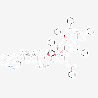 COCC1O[C@@H](O[C@H]2C3CO[C@H](O3)[C@@H](N=[N+]=[N-])C2OC)C(OC)C(OC)[C@@H]1O[C@H]1OC(COC)[C@@H](O[C@@H]2OC(COC)[C@@H](O[C@@H]3OC(COC(=O)c4ccccc4)[C@@H](O[C@@H]4OC(COC(=O)c5ccccc5)[C@@H](O[C@H]5OC6COC(c7ccccc7)O[C@H]6C(OC(=O)c6ccccc6)C5OC(=O)c5ccccc5)C(OC(=O)c5ccccc5)C4OC(=O)c4ccccc4)C(OC)[C@@H]3OC)C(OC)[C@@H]2OC)C(OC)C1OC